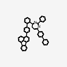 C1=C(c2ccc(-c3ccccc3)cc2)N=C(c2ccccc2)N=C(c2ccccc2-c2ccc(-c3ccc4c5c(cccc35)-c3ccccc3-4)cc2)C1